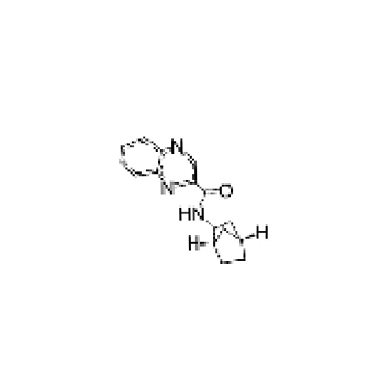 O=C(N[C@@H]1C[C@@H]2CC[C@H]1C2)c1cnc2ccccc2n1